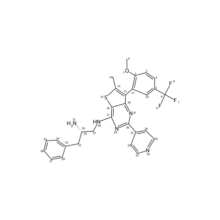 COc1ccc(C(F)(F)F)cc1-c1c(C)sc2c(NC[C@@H](N)Cc3ccccc3)nc(-c3ccncc3)nc12